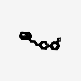 Clc1cccc(N2CCN(CCCN3CC4CC5CC(C4)CC3C5)CC2)c1